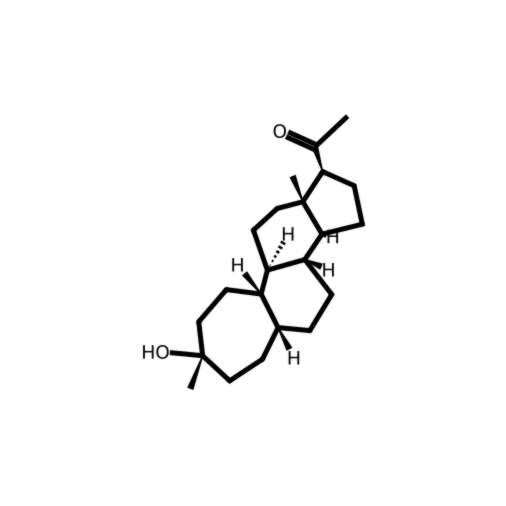 CC(=O)[C@H]1CC[C@H]2[C@@H]3CC[C@@H]4CC[C@](C)(O)CC[C@@H]4[C@H]3CC[C@]12C